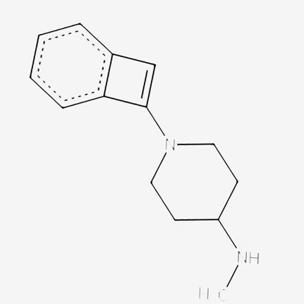 CNC1CCN(C2=Cc3ccccc32)CC1